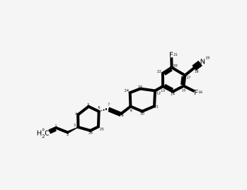 C=CC[C@H]1CC[C@H](/C=C/C2CCC(c3cc(F)c(C#N)c(F)c3)CC2)CC1